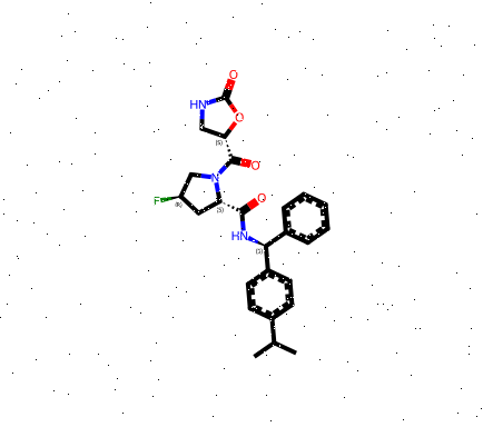 CC(C)c1ccc([C@@H](NC(=O)[C@@H]2C[C@@H](F)CN2C(=O)[C@@H]2CNC(=O)O2)c2ccccc2)cc1